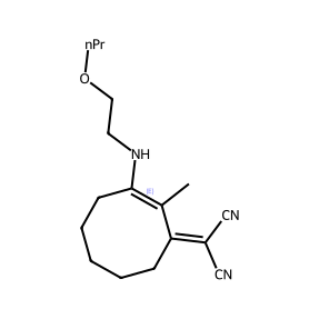 CCCOCCN/C1=C(\C)C(=C(C#N)C#N)CCCCC1